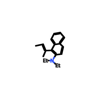 CC=C(C)c1c(N(CC)CC)ccc2ccccc12